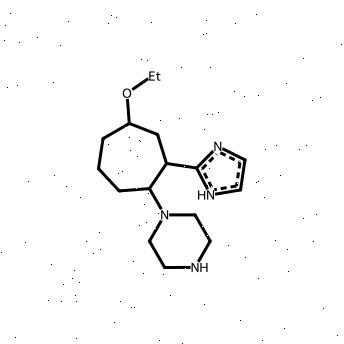 CCOC1CCCC(N2CCNCC2)C(c2ncc[nH]2)C1